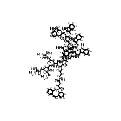 N=C(N)NCCC[C@H](NC(=O)CN)C(=O)N[C@@H](CCCNC(=N)N)C(=O)N[C@@H](CCCCNC(=O)CCC(=O)N1Cc2ccccc2C#Cc2ccccc21)C(=O)N[C@@H](CCCNC(=N)N)C(=O)NCC(=O)N[C@@H](Cc1c[nH]c2ccccc12)C(=O)N[C@@H](Cc1c[nH]c2ccccc12)C(=O)N[C@@H](Cc1c[nH]c2ccccc12)C(=O)N[C@@H](Cc1c[nH]c2ccccc12)C(=O)N[C@@H](Cc1c[nH]c2ccccc12)C(N)=O